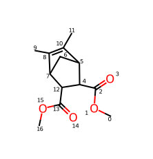 COC(=O)C1C2CC(C(C)=C2C)C1C(=O)OC